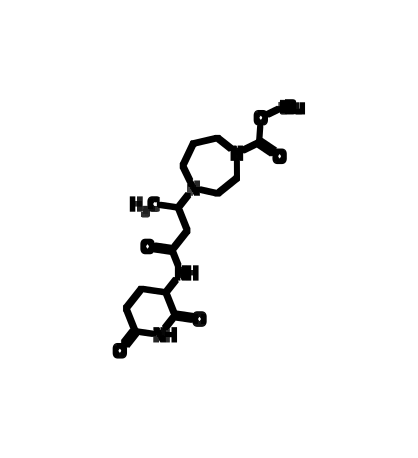 CC(CC(=O)NC1CCC(=O)NC1=O)N1CCCN(C(=O)OC(C)(C)C)CC1